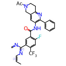 C=N/C(=N\C=C/C)c1cc(C(=O)Nc2cc3c(nc2-c2ccccc2)CCN(C(C)=O)C3)c(F)cc1C(F)(F)F